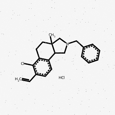 C=Cc1ccc2c(c1Cl)CCC1(C)CN(Cc3ccccc3)CC21.Cl